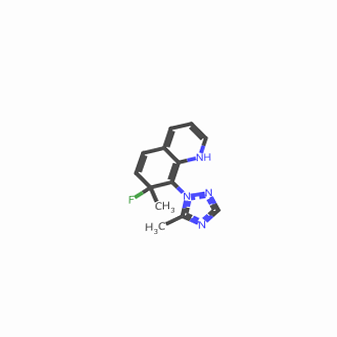 Cc1ncnn1C1=C2NC=CC=C2C=CC1(C)F